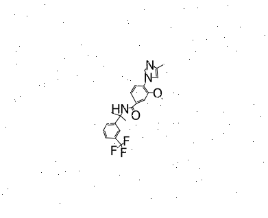 COc1cc(C(=O)NC(C)(C)c2cccc(C(F)(F)F)c2)ccc1-n1cnc(C)c1